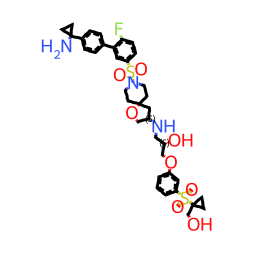 NC1(c2ccc(-c3cc(S(=O)(=O)N4CCC5(CC4)C[C@H](NC[C@H](O)COc4cccc(S(=O)(=O)C6(CO)CC6)c4)CO5)ccc3F)cc2)CC1